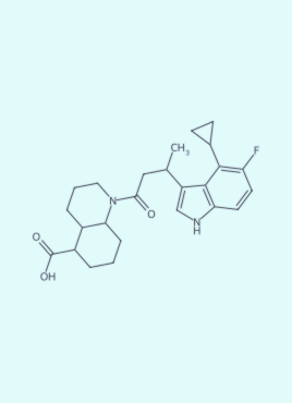 CC(CC(=O)N1CCCC2C(C(=O)O)CCCC21)c1c[nH]c2ccc(F)c(C3CC3)c12